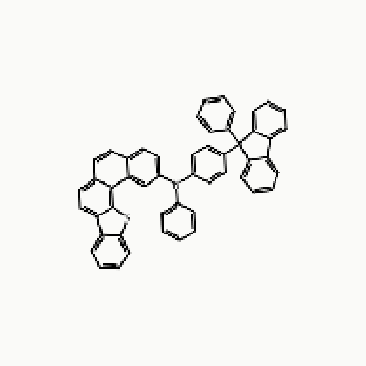 c1ccc(N(c2ccc(C3(c4ccccc4)c4ccccc4-c4ccccc43)cc2)c2ccc3ccc4ccc5c6ccccc6sc5c4c3c2)cc1